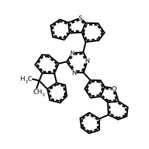 CC1(C)c2ccccc2-c2c(-c3nc(-c4ccc5c(c4)oc4cccc(-c6ccccc6)c45)nc(-c4cccc5sc6ccccc6c45)n3)cccc21